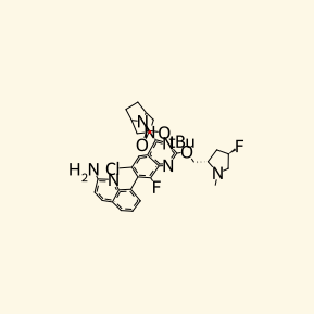 CN1C[C@H](F)C[C@H]1COc1nc(N2CC3CCC(C2)N3C(=O)OC(C)(C)C)c2cc(Cl)c(-c3cccc4ccc(N)nc34)c(F)c2n1